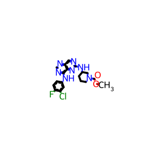 COC(=O)N1CCCC(Nc2ncc3ncnc(Nc4ccc(F)c(Cl)c4)c3n2)C1